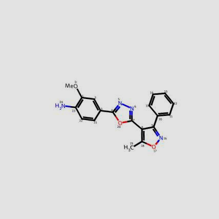 COc1cc(-c2nnc(-c3c(-c4ccccc4)noc3C)o2)ccc1N